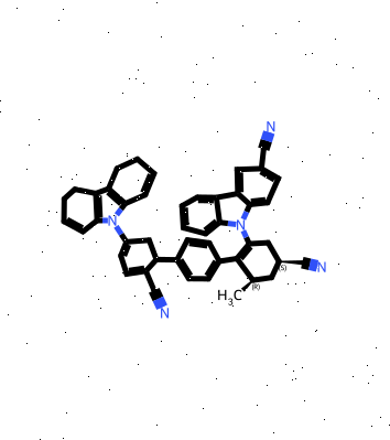 C[C@@H]1C[C@H](C#N)CC(n2c3ccccc3c3cc(C#N)ccc32)=C1c1ccc(C2CC(n3c4c(c5c3C=CCC5)CCC=C4)=CC=C2C#N)cc1